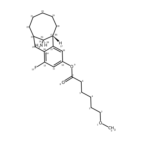 COCCCCCC(=O)Oc1cc(F)c2c(c1)[C@H]1CCCCCC(C2)[C@@H]1N